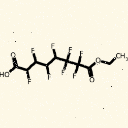 CCOC(=O)C(F)(F)C(F)(F)C(F)C(F)C(F)C(F)C(=O)O